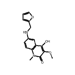 COc1c(O)c2cc(NCc3ccco3)ccc2n(C)c1=O